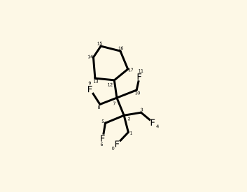 FCC(CF)(CF)C(CF)(CF)C1CCCCC1